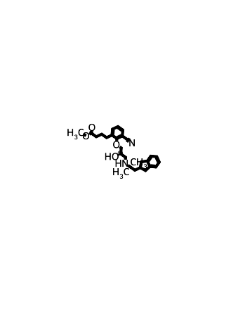 COC(=O)CCCc1cccc(C#N)c1OC[C@H](O)CNC(C)(C)CC1Cc2ccccc2C1